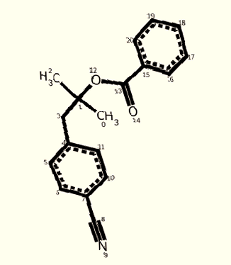 CC(C)(Cc1ccc(C#N)cc1)OC(=O)c1ccccc1